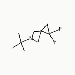 CC(C)(C)N1CC2(C1)CC2(F)F